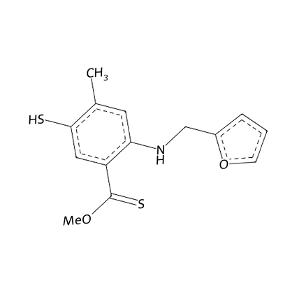 COC(=S)c1cc(S)c(C)cc1NCc1ccco1